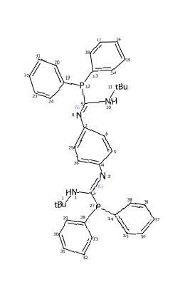 CC(C)(C)N/C(=N\c1ccc(/N=C(\NC(C)(C)C)P(c2ccccc2)c2ccccc2)cc1)P(c1ccccc1)c1ccccc1